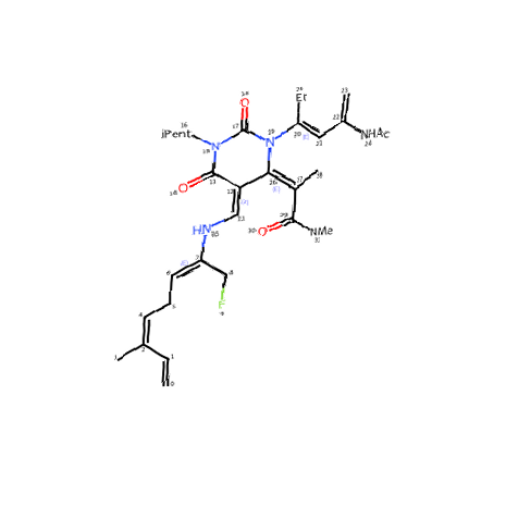 C=CC(C)=CC/C=C(\CF)N/C=c1\c(=O)n(C(C)CCC)c(=O)n(/C(=C/C(=C)NC(C)=O)CC)\c1=C(/C)C(=O)NC